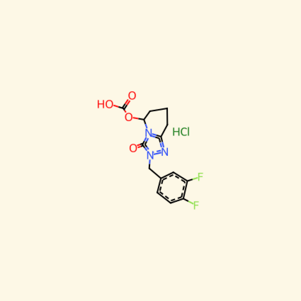 Cl.O=C(O)OC1CCCc2nn(Cc3ccc(F)c(F)c3)c(=O)n21